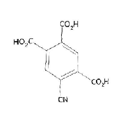 N#Cc1cc(C(=O)O)c(C(=O)O)cc1C(=O)O